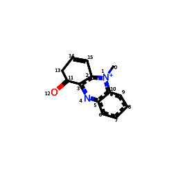 C[n+]1c2c(nc3ccccc31)C(=O)CC=C2